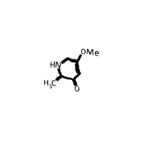 COC1=CC(=O)C(C)NC1